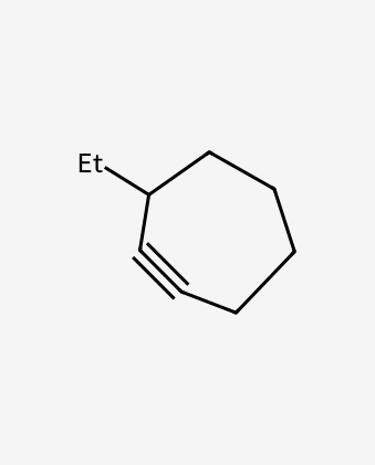 CCC1C#CCCCC1